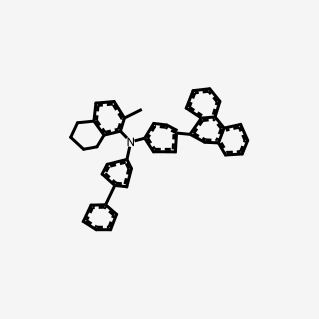 Cc1ccc2c(c1N(c1ccc(-c3ccccc3)cc1)c1ccc(-c3cc4ccccc4c4ccccc34)cc1)CCCC2